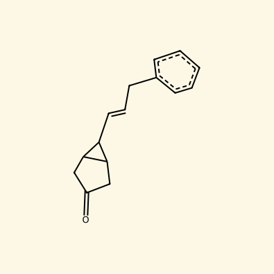 O=C1CC2C(/C=C/Cc3ccccc3)C2C1